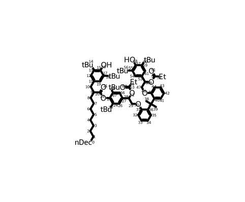 CCCCCCCCCCCCCCCCCCC(Cc1cc(C(C)(C)C)c(O)c(C(C)(C)C)c1)C(=O)Oc1c(C(C)(C)C)cc(C(COc2ccccc2C(C)(C)c2ccccc2OCC(OC(=O)CC)c2cc(C(C)(C)C)c(O)c(C(C)(C)C)c2)OC(=O)CC)cc1C(C)(C)C